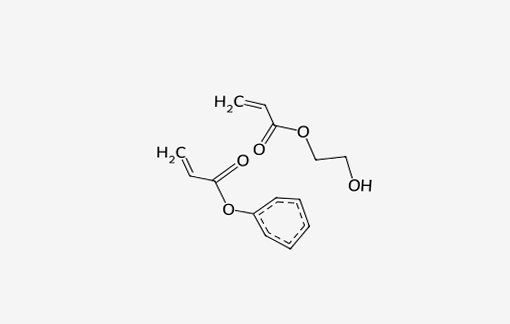 C=CC(=O)OCCO.C=CC(=O)Oc1ccccc1